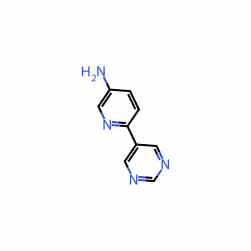 Nc1ccc(-c2cncnc2)nc1